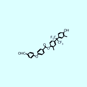 Cc1cc(C(c2ccc(OC(=O)c3ccc(Oc4ccc(C=O)cc4)cc3)c(C)c2)(C(F)(F)F)C(F)(F)F)ccc1O